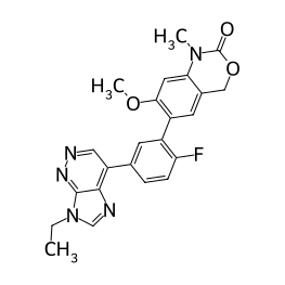 CCn1cnc2c(-c3ccc(F)c(-c4cc5c(cc4OC)N(C)C(=O)OC5)c3)cnnc21